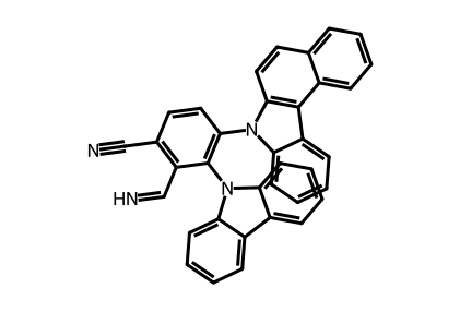 N#Cc1ccc(-n2c3ccccc3c3c4ccccc4ccc32)c(-n2c3ccccc3c3ccccc32)c1C=N